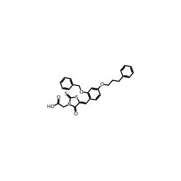 O=C(O)CN1C(=O)C(=Cc2ccc(OCCCc3ccccc3)cc2OCc2ccccc2)SC1=S